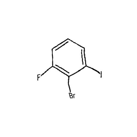 Fc1cccc(I)c1Br